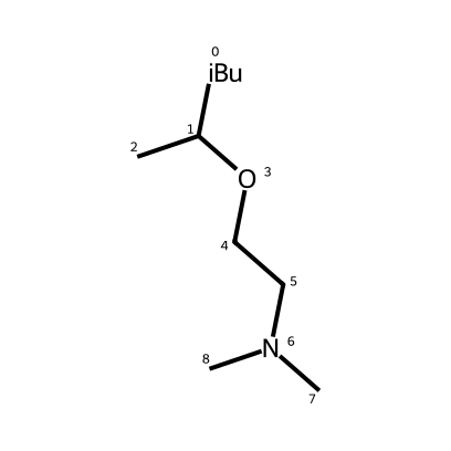 CCC(C)C(C)OCCN(C)C